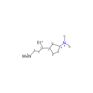 CCC(CCNC)C1CCC(N(C)C)C1